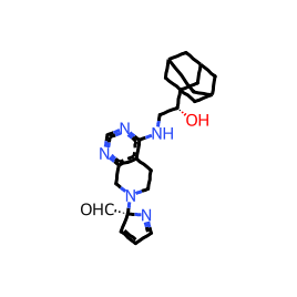 O=C[C@@]1(N2CCc3c(ncnc3NC[C@@H](O)C34CC5CC(CC(C5)C3)C4)C2)C=CC=N1